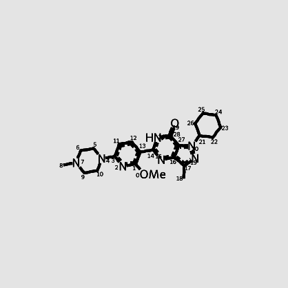 COc1nc(N2CCN(C)CC2)ccc1-c1nc2c(C)nn(C3CCCCC3)c2c(=O)[nH]1